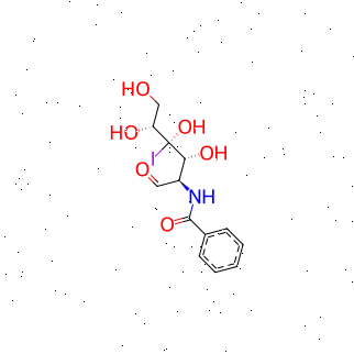 O=C[C@H](NC(=O)c1ccccc1)[C@@H](O)[C@@](O)(I)[C@H](O)CO